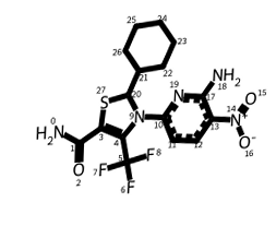 NC(=O)C1=C(C(F)(F)F)N(c2ccc([N+](=O)[O-])c(N)n2)C(C2CCCCC2)S1